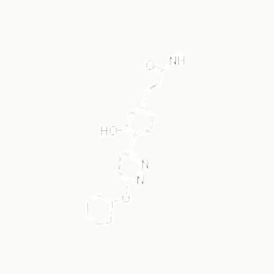 CNC(=O)/C=C/c1ccc(-c2ccc(OC3CCCCC3)nn2)c(O)c1